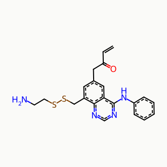 C=CC(=O)Cc1cc(CSSCCN)c2ncnc(Nc3ccccc3)c2c1